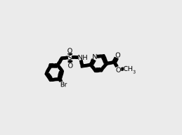 COC(=O)c1ccc(CNS(=O)(=O)Cc2cccc(Br)c2)nc1